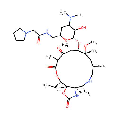 CC[C@H]1OC(=O)C(C)C(=O)[C@H](C)[C@@H](O[C@@H]2O[C@H](CNC(=O)CN3CCCC3)CC(N(C)C)C2O)[C@](C)(OC)C[C@@H](C)CN[C@H](C)[C@H]2NC(=O)O[C@@]21C